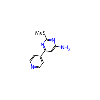 CSc1nc(N)cc(-c2ccncc2)n1